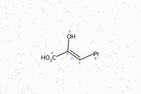 CC(C)/C=C(\O)C(=O)O